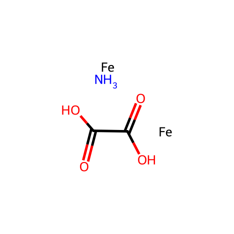 N.O=C(O)C(=O)O.[Fe].[Fe]